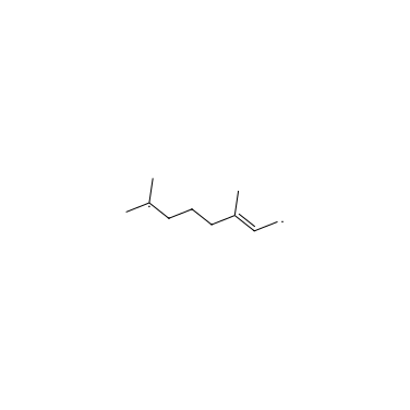 [CH2]/C=C(\C)CCC[C](C)C